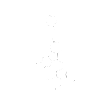 COc1cc(/C=C2/C(C)=C(CC(=O)NOc3ccccc3)c3cc(F)ccc32)cc(OC)c1CCO